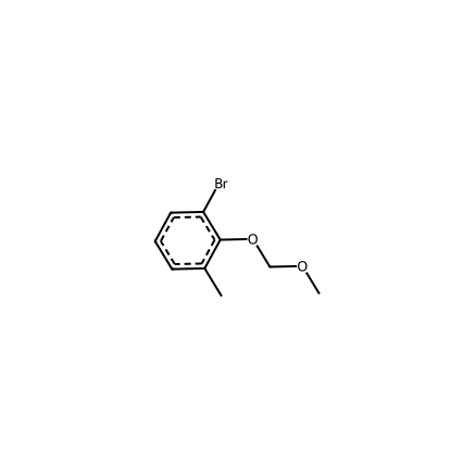 COCOc1c(C)cccc1Br